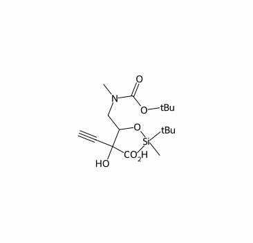 C#CC(O)(C(=O)O)C(CN(C)C(=O)OC(C)(C)C)O[Si](C)(C)C(C)(C)C